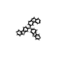 c1ccc2c(c1)ccc1ccc(N(c3ccc4c(c3)oc3ccncc34)c3ccc4c(c3)oc3ccncc34)cc12